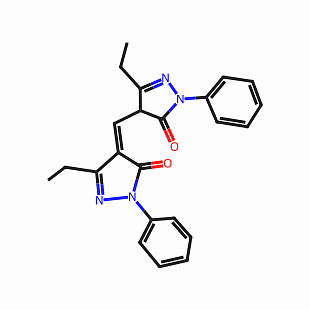 CCC1=NN(c2ccccc2)C(=O)/C1=C\C1C(=O)N(c2ccccc2)N=C1CC